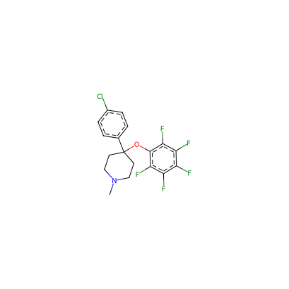 CN1CCC(Oc2c(F)c(F)c(F)c(F)c2F)(c2ccc(Cl)cc2)CC1